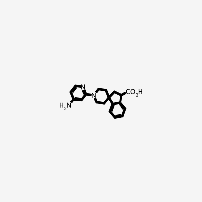 Nc1ccnc(N2CCC3(CC2)CC(C(=O)O)c2ccccc23)c1